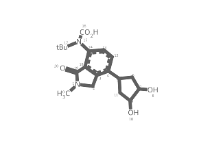 CN1Cc2c(C3CC(O)C(O)C3)ccc(N(C(=O)O)C(C)(C)C)c2C1=O